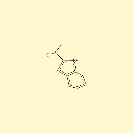 C[S+]([O-])c1cc2ccccc2[nH]1